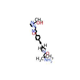 C[C@H](O)c1nccn1Cc1cc(-c2ccc(C#C[C@@H]3[C@H]4CN(C(=O)CC(C)(C)N)C[C@@H]34)cc2)on1